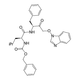 CC(C)C[C@H](NC(=O)OCc1ccccc1)C(=O)N[C@@H](Cc1ccccc1)C(=O)COn1cnc2ccccc21